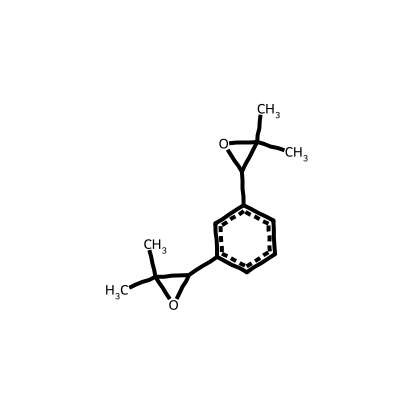 CC1(C)OC1c1cccc(C2OC2(C)C)c1